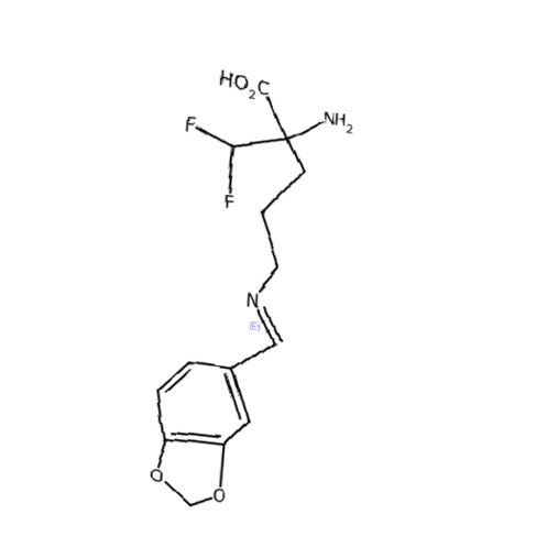 NC(CCC/N=C/c1ccc2c(c1)OCO2)(C(=O)O)C(F)F